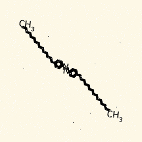 CCCCCCCCCCCCCCCCc1ccc(N=Nc2ccc(CCCCCCCCCCCCCCCC)cc2)cc1